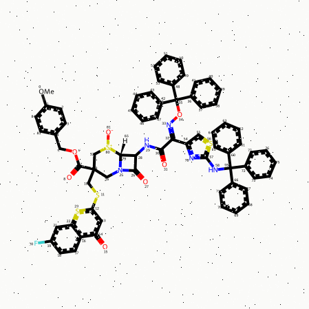 COc1ccc(COC(=O)C2(CSc3cc(=O)c4ccc(F)cc4s3)CN3C(=O)C(NC(=O)C(=NOC(c4ccccc4)(c4ccccc4)c4ccccc4)c4csc(NC(c5ccccc5)(c5ccccc5)c5ccccc5)n4)[C@H]3[S+]([O-])C2)cc1